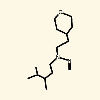 C=NN(CCC1CCOCC1)CCC(C)C(C)C